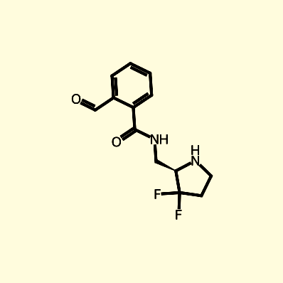 O=Cc1ccccc1C(=O)NC[C@H]1NCCC1(F)F